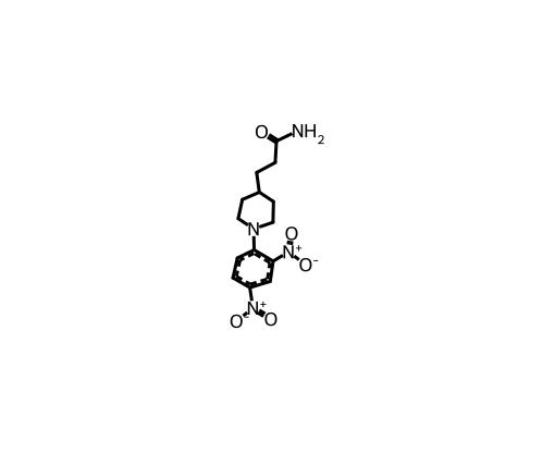 NC(=O)CCC1CCN(c2ccc([N+](=O)[O-])cc2[N+](=O)[O-])CC1